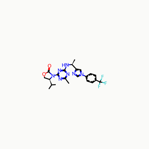 Cc1nc(N[C@@H](C)c2cn(-c3ccc(C(F)(F)F)cc3)cn2)nc(N2C(=O)OC[C@@H]2C(C)C)n1